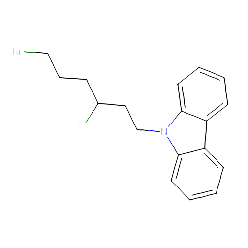 BrCCCC(Br)CCn1c2ccccc2c2ccccc21